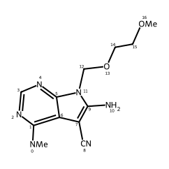 CNc1ncnc2c1c(C#N)c(N)n2COCCOC